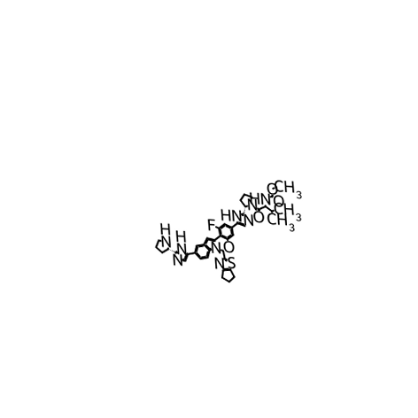 COC(=O)N[C@H](C(=O)N1CCC[C@H]1c1ncc(-c2cc(F)c3c(c2)OC(c2nc4c(s2)CCC4)n2c-3cc3cc(-c4cnc([C@@H]5CCCN5)[nH]4)ccc32)[nH]1)C(C)C